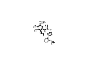 COc1cc2c(N[C@H](C)c3ccc(-c4ccccc4CN(C)C)s3)nc(C)nc2c2c1OCCO2